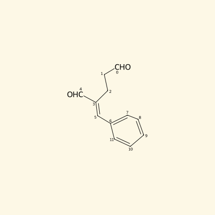 O=CCCC(C=O)=Cc1ccccc1